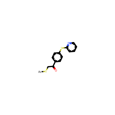 CC(=O)SCC(=O)c1ccc(Sc2ccccn2)cc1